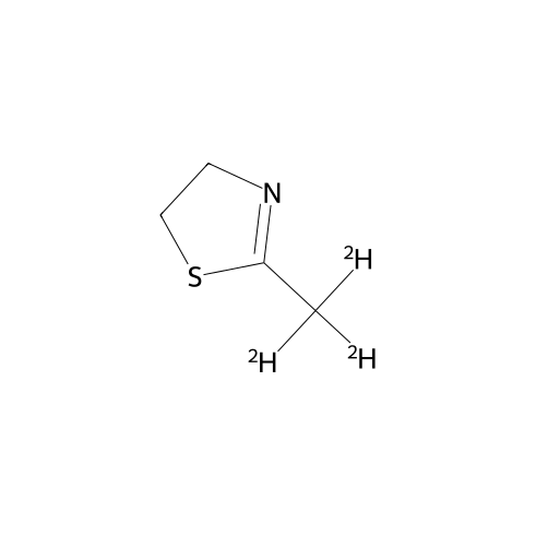 [2H]C([2H])([2H])C1=NCCS1